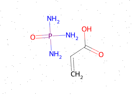 C=CC(=O)O.NP(N)(N)=O